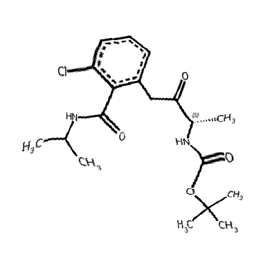 CC(C)NC(=O)c1c(Cl)cccc1CC(=O)[C@H](C)NC(=O)OC(C)(C)C